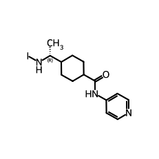 C[C@@H](NI)C1CCC(C(=O)Nc2ccncc2)CC1